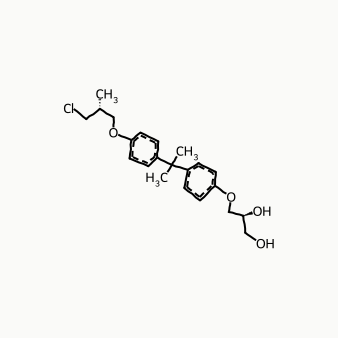 C[C@@H](CCl)COc1ccc(C(C)(C)c2ccc(OC[C@@H](O)CO)cc2)cc1